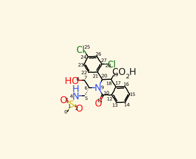 CS(=O)(=O)NC[C@H](CO)N1C(=O)c2ccccc2C(C(=O)O)C1c1ccc(Cl)cc1Cl